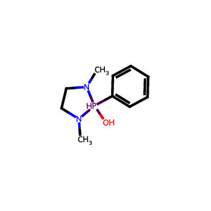 CN1CCN(C)[PH]1(O)c1ccccc1